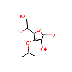 CC(C)OC1=C(O)C(=O)OC1C(O)CO